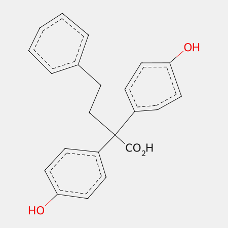 O=C(O)C(CCc1ccccc1)(c1ccc(O)cc1)c1ccc(O)cc1